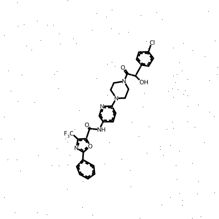 O=C(Nc1ccc(N2CCN(C(=O)C(O)c3ccc(Cl)cc3)CC2)nc1)c1oc(-c2ccccc2)nc1C(F)(F)F